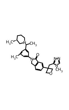 Cc1cc(C(C)N2CCC[C@H](C)C2)cc(N2Cc3ccc(C4(Cc5nncn5C)COC4)cc3C2=O)c1